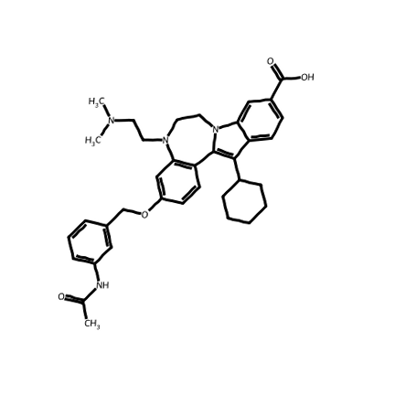 CC(=O)Nc1cccc(COc2ccc3c(c2)N(CCN(C)C)CCn2c-3c(C3CCCCC3)c3ccc(C(=O)O)cc32)c1